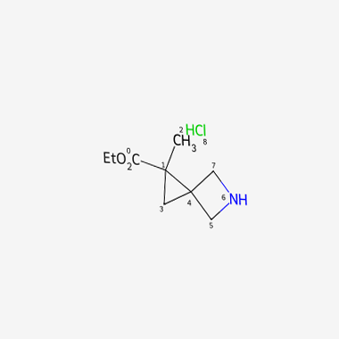 CCOC(=O)C1(C)CC12CNC2.Cl